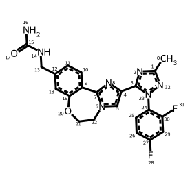 Cc1nc(-c2cn3c(n2)-c2ccc(CNC(N)=O)cc2OCC3)n(-c2ccc(F)cc2F)n1